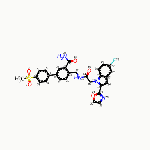 CS(=O)(=O)c1ccc(-c2ccc(CNC(=O)Cn3c(-c4ncco4)cc4cc(F)ccc43)c(C(N)=O)c2)cc1